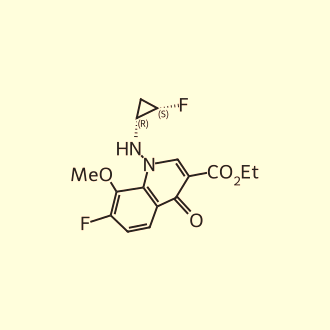 CCOC(=O)c1cn(N[C@@H]2C[C@@H]2F)c2c(OC)c(F)ccc2c1=O